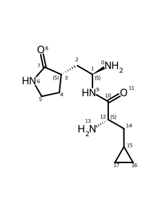 N[C@H](C[C@@H]1CCNC1=O)NC(=O)[C@@H](N)CC1CC1